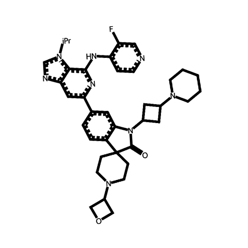 CC(C)n1cnc2cc(-c3ccc4c(c3)N(C3CC(N5CCCCC5)C3)C(=O)C43CCN(C4COC4)CC3)nc(Nc3ccncc3F)c21